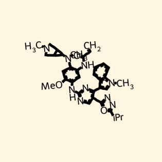 C=CC(=O)Nc1cc(Nc2ncc(-c3nnc(C(C)C)o3)c(-c3cn(C)c4ccccc34)n2)c(OC)cc1N(C)C1C2CN(C)CC21